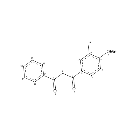 COc1ccc(C(=O)CC(=O)c2ccccc2)cc1C